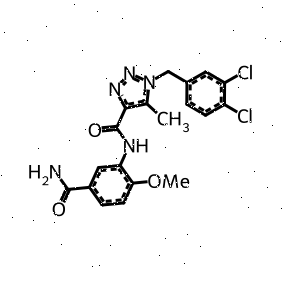 COc1ccc(C(N)=O)cc1NC(=O)c1nnn(Cc2ccc(Cl)c(Cl)c2)c1C